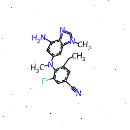 CCc1cc(C#N)cc(F)c1N(C)c1cc(N)c2ncn(C)c2c1